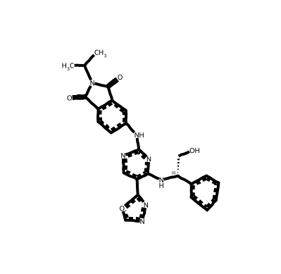 CC(C)N1C(=O)c2ccc(Nc3ncc(-c4nnco4)c(N[C@H](CO)c4ccccc4)n3)cc2C1=O